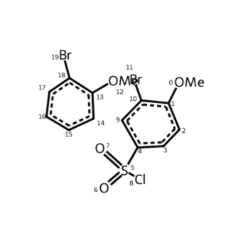 COc1ccc(S(=O)(=O)Cl)cc1Br.COc1ccccc1Br